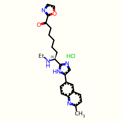 CCN[C@@H](CCCCCC(=O)c1ncco1)c1ncc(-c2ccc3nc(C)ccc3c2)[nH]1.Cl